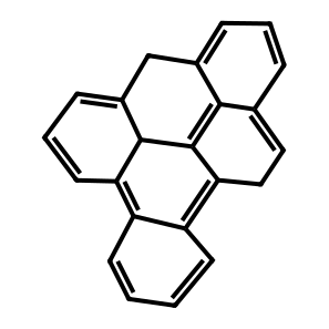 C1=CC2=c3ccccc3=C3CC=c4cccc5c4=C3C2C(=C1)C5